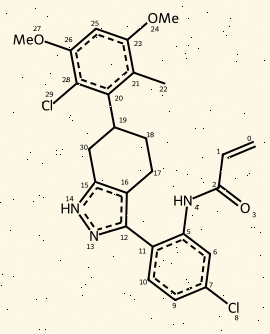 C=CC(=O)Nc1cc(Cl)ccc1-c1n[nH]c2c1CCC(c1c(C)c(OC)cc(OC)c1Cl)C2